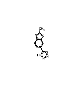 Cc1nc2ccc(-c3nnn[nH]3)cc2s1